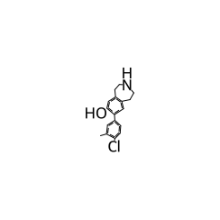 Cc1cc(-c2cc3c(cc2O)CCNCC3)ccc1Cl